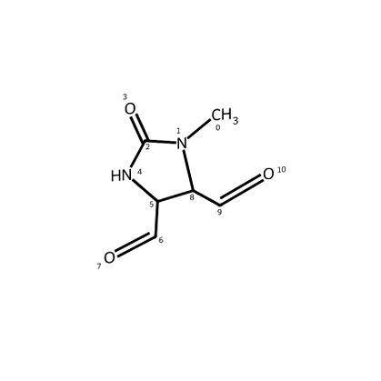 CN1C(=O)NC(C=O)C1C=O